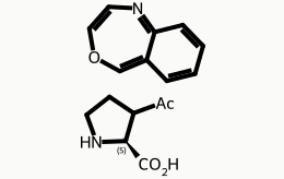 C1=COC=c2ccccc2=N1.CC(=O)C1CCN[C@@H]1C(=O)O